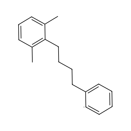 Cc1cccc(C)c1CCCCc1[c]cccc1